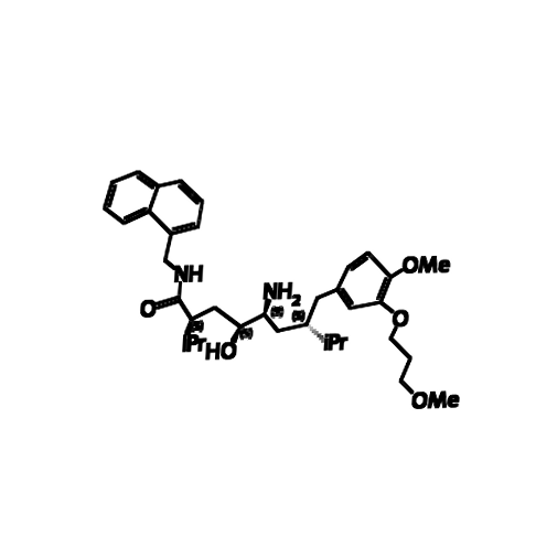 COCCCOc1cc(C[C@@H](C[C@H](N)[C@@H](O)C[C@H](C(=O)NCc2cccc3ccccc23)C(C)C)C(C)C)ccc1OC